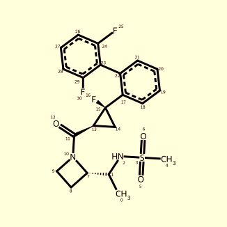 CC(NS(C)(=O)=O)[C@@H]1CCN1C(=O)[C@@H]1C[C@@]1(F)c1ccccc1-c1c(F)cccc1F